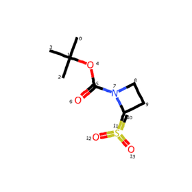 CC(C)(C)OC(=O)N1CCC1=S(=O)=O